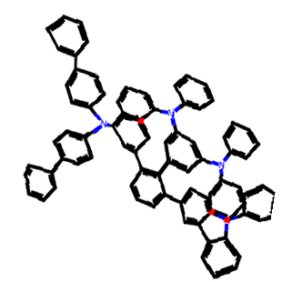 c1ccc(-c2ccc(N(c3ccc(-c4ccccc4)cc3)c3cccc(-c4cccc(-c5ccc6c(c5)c5ccccc5n6-c5ccccc5)c4-c4cc(N(c5ccccc5)c5ccccc5)cc(N(c5ccccc5)c5ccccc5)c4)c3)cc2)cc1